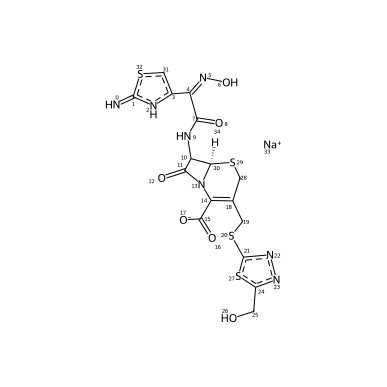 N=c1[nH]c(/C(=N/O)C(=O)NC2C(=O)N3C(C(=O)[O-])=C(CSc4nnc(CO)s4)CS[C@H]23)cs1.[Na+]